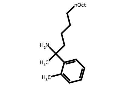 CCCCCCCCCCCCC(C)(N)c1ccccc1C